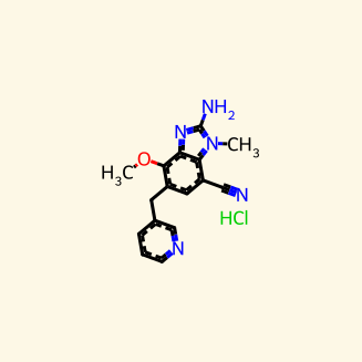 COc1c(Cc2cccnc2)cc(C#N)c2c1nc(N)n2C.Cl